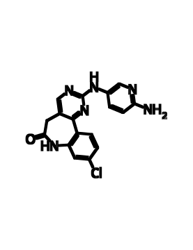 Nc1ccc(Nc2ncc3c(n2)-c2ccc(Cl)cc2NC(=O)C3)cn1